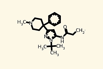 [CH2]CC(=O)Nc1cc(C2(c3ccccc3)CCN(C)CC2)nn1C(C)(C)C